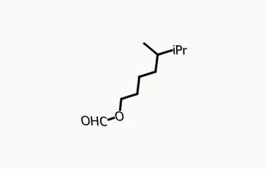 CC(C)C(C)CCCCOC=O